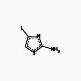 Nc1nc(I)cs1